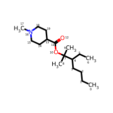 CCCCC(CC)C(C)(C)OC(=O)C1CCN(C)CC1